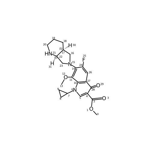 COC(=O)c1cn(C2CC2)c2c(OC)c(N3C[C@@H]4CCCN[C@@H]4C3)c(F)cc2c1=O